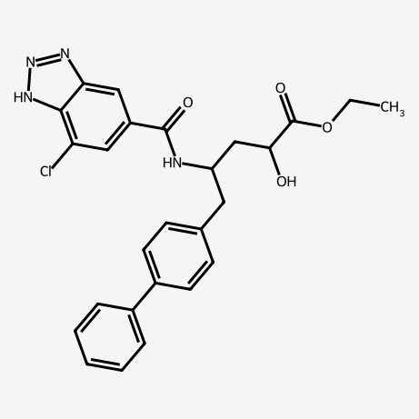 CCOC(=O)C(O)CC(Cc1ccc(-c2ccccc2)cc1)NC(=O)c1cc(Cl)c2[nH]nnc2c1